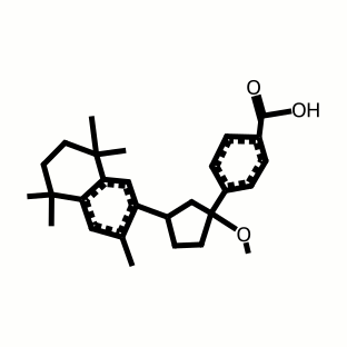 COC1(c2ccc(C(=O)O)cc2)CCC(c2cc3c(cc2C)C(C)(C)CCC3(C)C)C1